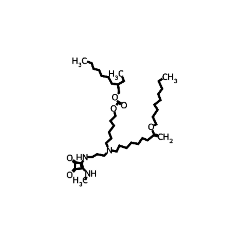 C=C(CCCCCCCN(CCCCCCOC(=O)OCC(CC)CCCCCCC)CCCNc1c(NC)c(=O)c1=O)OCCCCCCCCC